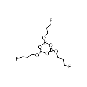 FCCCOB1OB(OCCCF)OB(OCCCF)O1